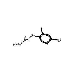 Cc1cc(Cl)ccc1SSNC(=O)O